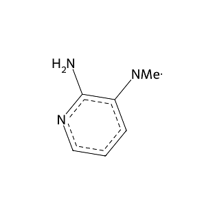 C[N]c1cccnc1N